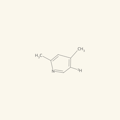 [2H]c1cnc(C)cc1C